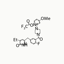 CCc1cc(Cc2ccc(F)c(C(=O)N3CCN(c4cc(OC)cc[n+]4OC(=O)C(F)(F)F)CC3)c2)n[nH]c1=O